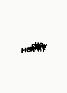 Cc1cc(F)cc(O[C@@H]2C[C@@H]3CN(CC(O)c4ccc(O)cn4)C[C@@H]3C2)c1